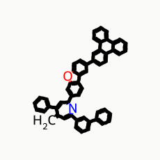 C=C1C=C(c2cccc(-c3ccccc3)c2)N=C(c2ccc3c(c2)oc2ccc(-c4ccc5c6ccccc6c6ccccc6c5c4)cc23)C=C1c1ccccc1